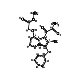 CCc1c(C(=O)C(N)=O)c2c(OCC(=O)OC(C)(C)C)cccn2c1Cc1ccccc1